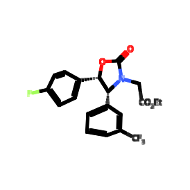 CCOC(=O)CN1C(=O)O[C@@H](c2ccc(F)cc2)[C@H]1c1cccc(C(F)(F)F)c1